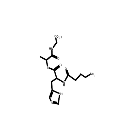 CC(SC(=O)C(Cc1cnc[nH]1)NC(=O)CCCN)C(=O)NCC(=O)O